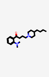 CCCCC1CCN(CCCC(=O)c2ccccc2N(C)C)CC1